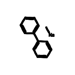 [CH3][Na].c1ccc(-c2ccccc2)cc1